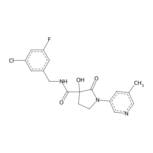 Cc1cncc(N2CCC(O)(C(=O)NCc3cc(F)cc(Cl)c3)C2=O)c1